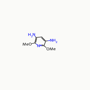 COc1nc(OC)c(N)cc1N